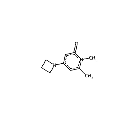 Cc1cc(N2CCC2)cc(=O)n1C